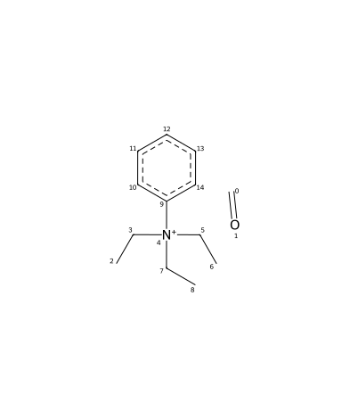 C=O.CC[N+](CC)(CC)c1ccccc1